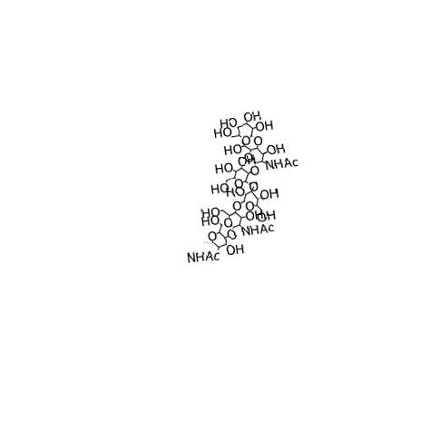 CC(=O)NC1C(O)[C@H](O[C@@H]2OC(CO)[C@H](O)C(O)C2O)C(CO)O[C@H]1OC1C(O)[C@H](O)C(CO)O[C@@H]1OC1C(O)[C@H](O[C@@H]2C(CO)O[C@@H](O[C@@H]3C(CO)O[C@@H](C)C(NC(C)=O)C3O)C(NC(C)=O)C2O)OC(CO)[C@H]1O